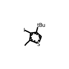 Cc1scc(C(C)(C)C)c1I